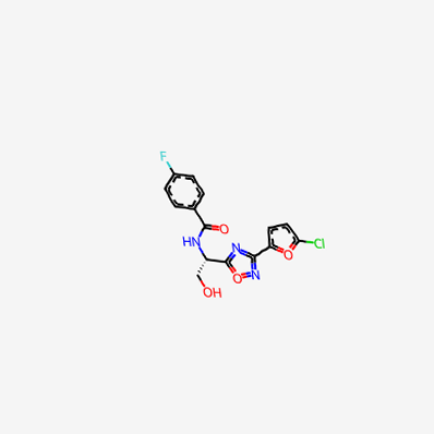 O=C(N[C@@H](CO)c1nc(-c2ccc(Cl)o2)no1)c1ccc(F)cc1